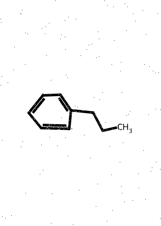 CCCc1[c]cc[c]c1